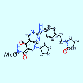 CONC(=O)c1cn(C2CCCC2)c2nc(Nc3ccc(CCN4CCCC4=O)cc3)ncc2c1=O